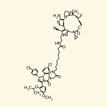 C=C1/C=C(F)\C=C/CC(=O)N(C2CC2)Cc2nn(CCNC(=O)CCCCCCCCN3CCN(C(=O)N4C(c5ccc(OC)cc5OC(C)C)=N[C@@H](c5ccc(Cl)cc5)[C@H]4c4ccc(Cl)cc4)CC3=O)c(C#N)c2-c2cnc(N)c(c2)N2CCC[C@H]12